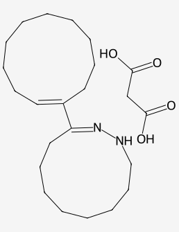 C1=C(C2=NNCCCCCCCC2)CCCCCCCCC1.O=C(O)CC(=O)O